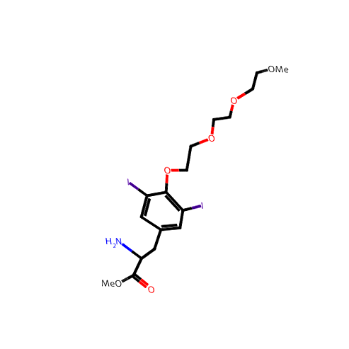 COCCOCCOCCOc1c(I)cc(CC(N)C(=O)OC)cc1I